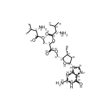 CC(C)[C@H](N)C(=O)OC[C@H](OC(=O)[C@@H](N)C(C)C)C(=O)OC[C@H]1O[C@@H](n2cnc3c(=O)[nH]c(N)nc32)C[C@@H]1F